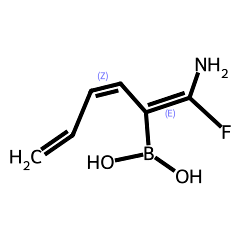 C=C/C=C\C(B(O)O)=C(/N)F